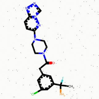 CC(F)(P)c1cc(Cl)cc(CC(=O)N2CCN(c3ccc4nncn4n3)CC2)c1